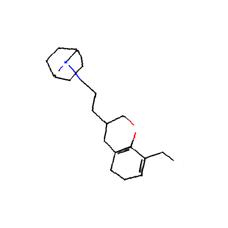 CCC1=CCCC2=C1OCC(CCN1CC3CCC(CC3)C1)C2